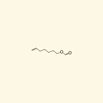 C=CCCCCCOC=O